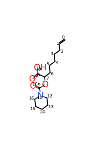 C=CCCCCCC(OC(=O)N1CCCCC1)C(=O)O